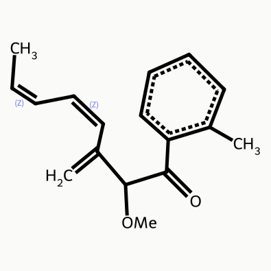 C=C(/C=C\C=C/C)C(OC)C(=O)c1ccccc1C